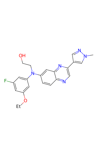 CCOc1cc(F)cc(N(CCO)c2ccc3ncc(-c4cnn(C)c4)nc3c2)c1